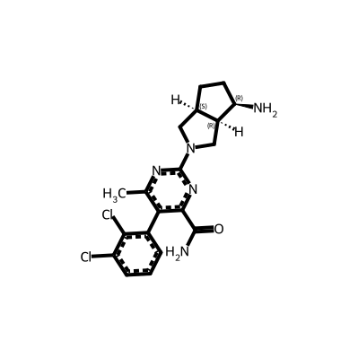 Cc1nc(N2C[C@H]3CC[C@@H](N)[C@H]3C2)nc(C(N)=O)c1-c1cccc(Cl)c1Cl